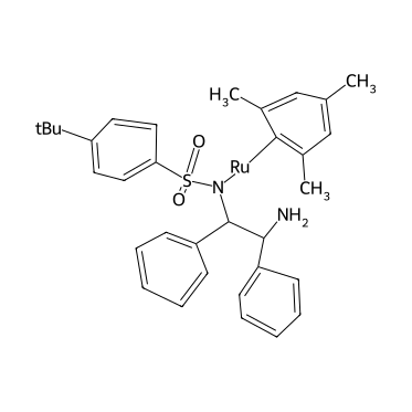 Cc1cc(C)[c]([Ru][N](C(c2ccccc2)C(N)c2ccccc2)S(=O)(=O)c2ccc(C(C)(C)C)cc2)c(C)c1